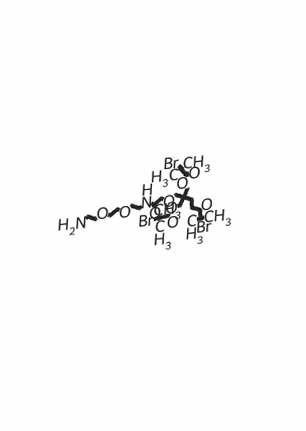 CC(C)(Br)C(=O)CCC(COCC(=O)NCCOCCOCCN)(COC(=O)C(C)(C)Br)COC(=O)C(C)(C)Br